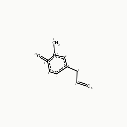 Cn1cc(CC=O)ccc1=O